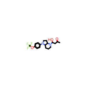 CC(=O)CC(O)N1CCCC2C1CCN2c1ccc(OC(F)(F)F)cc1